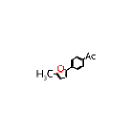 CC(=O)c1ccc(-c2ccc(C)o2)cc1